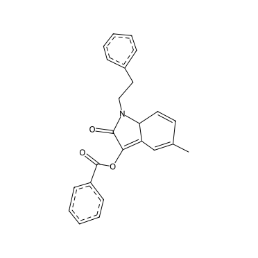 CC1=CC2=C(OC(=O)c3ccccc3)C(=O)N(CCc3ccccc3)C2C=C1